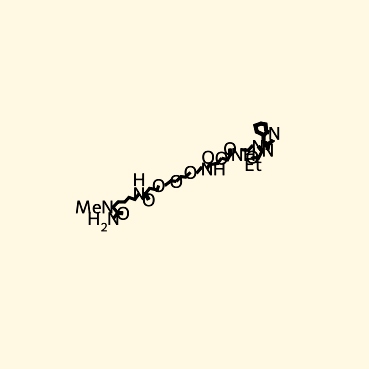 CCOCc1nc2cnc3ccccc3c2n1CCCNC(=O)COCC(=O)NCCOCCOCCOCCC(=O)NCCCCC(NC)C(N)=O